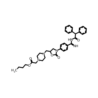 CCCCOC(=O)CN1CCN(CC2CN(c3ccc(C(=N)NC(=O)C(c4ccccc4)c4ccccc4)cc3)C(=O)O2)CC1